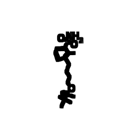 Cc1c(CCCCO[Si](C)(C)C(C)(C)C)cccc1S(N)(=O)=O